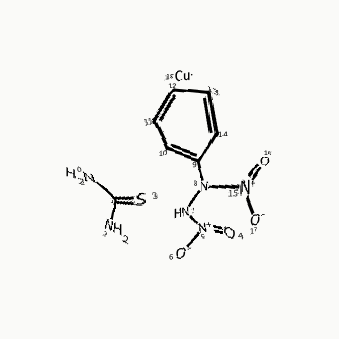 NC(N)=S.O=[N+]([O-])NN(c1ccccc1)[N+](=O)[O-].[Cu]